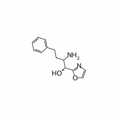 NC(CCc1ccccc1)[C@H](O)c1ncco1